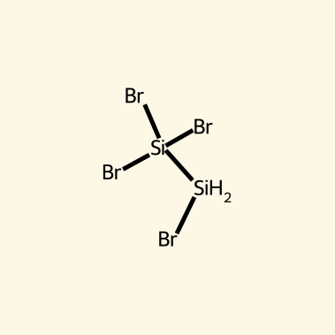 Br[SiH2][Si](Br)(Br)Br